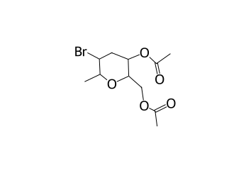 CC(=O)OCC1OC(C)C(Br)CC1OC(C)=O